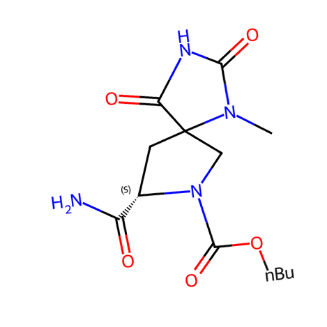 CCCCOC(=O)N1CC2(C[C@H]1C(N)=O)C(=O)NC(=O)N2C